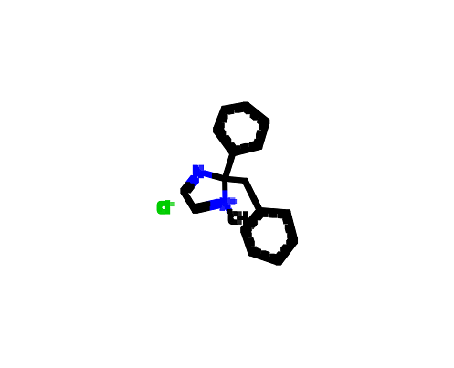 C[N+]1=CC=NC1(Cc1ccccc1)c1ccccc1.[Cl-]